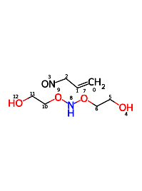 C=CCN=O.OCCONOCCO